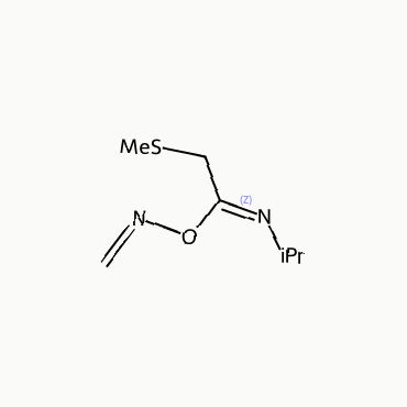 C=NO/C(CSC)=N\C(C)C